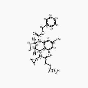 O=C(O)CCC(=O)N(C1CC1)[C@H]1c2ccc(F)cc2N(C(=O)OCc2ccccc2)[C@@H]2CC[C@@H]21